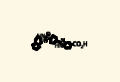 O=C(O)c1ccc2[nH]c(-c3ccc(S(=O)(=O)Nc4ccc5ccccc5c4)cc3)nc2c1